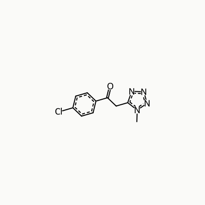 Cn1nnnc1CC(=O)c1ccc(Cl)cc1